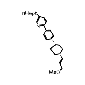 CCCCCCCc1ccc(-c2ccc([C@H]3CC[C@H](C=CCOC)CC3)cc2)nc1